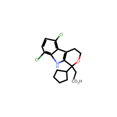 O=C(O)CC1(C2CCCC2)OCCc2c1[nH]c1c(Cl)ccc(Cl)c21